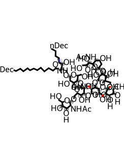 CCCCCCCCCCCCC/C=C/[C@@H](O)[C@H](CO[C@@H]1OC(CO)[C@@H](O[C@@H]2OC(CO[C@@H]3OC(CO)[C@@H](O)[C@H](O)C3NC(C)=O)[C@H](O)[C@H](O[C@@H]3OC(CO)[C@@H](O[C@H]4OC(C)[C@@H](O)C(O)[C@@H]4O)[C@H](O[C@@H]4OC(CO)[C@H](O)[C@H](O[C@]5(C(=O)O)CC(O)[C@@H](NC(C)=O)C([C@H](O)[C@H](O)CO)O5)C4O)C3NC(C)=O)C2O)[C@H](O)C1O)NC(=O)CCCCCCCCCCCCCCCCCCCCC